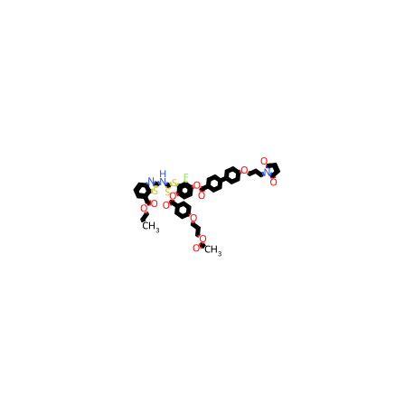 CCCOC(=O)C1=CC=CC2N=C(NC(=S)Sc3c(OC(=O)C4CCC(OCCCOC(C)=O)CC4)ccc(OC(=O)C4CCC(C5CCC(OCCCN6C(=O)C=CC6=O)CC5)CC4)c3F)SC12